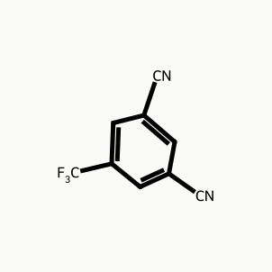 N#Cc1cc(C#N)cc(C(F)(F)F)c1